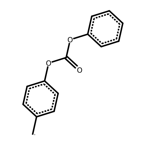 [CH2]c1ccc(OC(=O)Oc2ccccc2)cc1